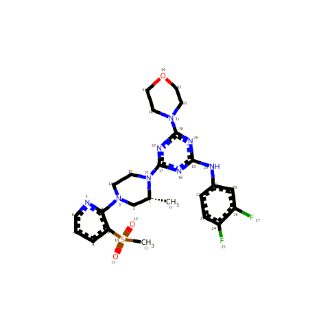 C[C@@H]1CN(c2ncccc2S(C)(=O)=O)CCN1c1nc(Nc2ccc(F)c(F)c2)nc(N2CCOCC2)n1